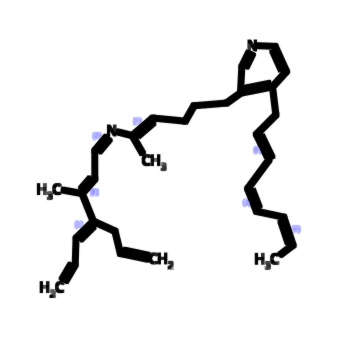 C=C/C=C(CC=C)/C(C)=C/C=N\C(C)=C\CCCc1cnccc1C/C=C/C=C\C=C/C